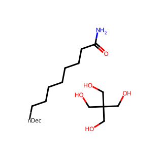 CCCCCCCCCCCCCCCCCC(N)=O.OCC(CO)(CO)CO